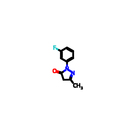 CC1=NN(c2cccc(F)c2)C(=O)C1